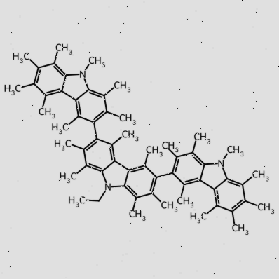 CCn1c2c(C)c(C)c(-c3c(C)c(C)c4c(c3C)c3c(C)c(C)c(C)c(C)c3n4C)c(C)c2c2c(C)c(-c3c(C)c(C)c4c(c3C)c3c(C)c(C)c(C)c(C)c3n4C)c(C)c(C)c21